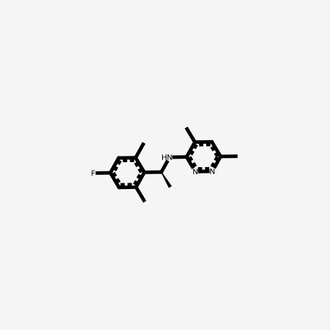 Cc1cc(C)c(N[C@@H](C)c2c(C)cc(F)cc2C)nn1